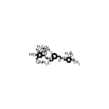 COc1ccc(CNC(=O)Cc2cccc(C[C@@H](C)NC[C@H](O[Si](C)(C)C(C)(C)C)c3ccc(O)c(CO)c3)c2)cc1OC